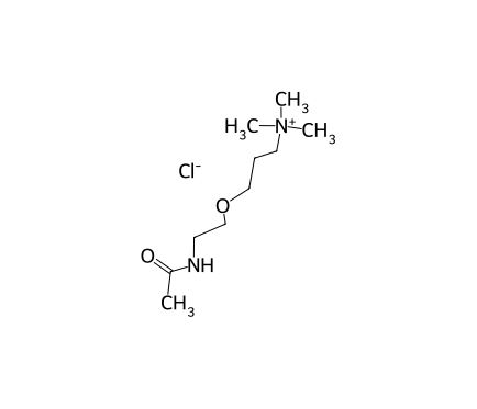 CC(=O)NCCOCCC[N+](C)(C)C.[Cl-]